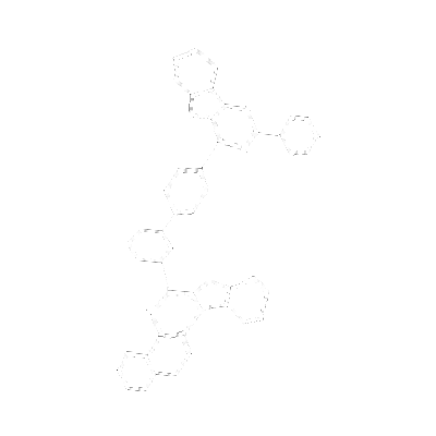 c1ccc(-c2nc(-c3ccc(-c4cccc(-c5nc6c7ccccc7ccc6c6c5sc5ccccc56)c4)cc3)c3sc4ccccc4c3n2)cc1